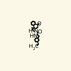 C=Cc1ccc2[nH]c(C(=O)N3C[C@H]4C[C@@]45C3=CC(=O)c3ccccc35)cc2c1